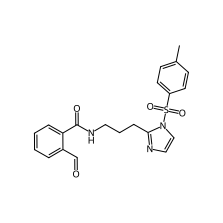 Cc1ccc(S(=O)(=O)n2ccnc2CCCNC(=O)c2ccccc2C=O)cc1